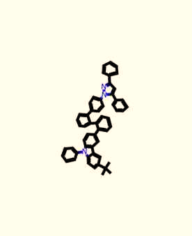 CC(C)(C)c1ccc2c(c1)c1cc(-c3ccccc3-c3ccccc3-c3ccc(-n4nc(-c5ccccc5)cc4-c4ccccc4)cc3)ccc1n2-c1ccccc1